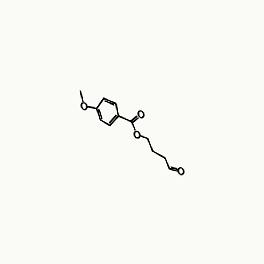 COc1ccc(C(=O)OCCCC=O)cc1